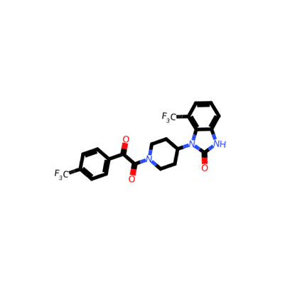 O=C(C(=O)N1CCC(n2c(=O)[nH]c3cccc(C(F)(F)F)c32)CC1)c1ccc(C(F)(F)F)cc1